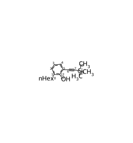 CCCCCCc1cccc(C#C[Si](C)(C)C)c1O